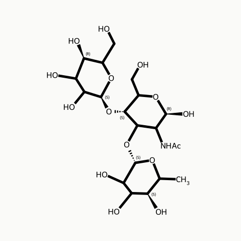 CC(=O)NC1C(O[C@@H]2OC(C)[C@@H](O)C(O)C2O)[C@H](O[C@@H]2OC(CO)[C@H](O)C(O)C2O)C(CO)O[C@H]1O